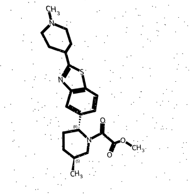 COC(=O)C(=O)N1C[C@@H](C)CC[C@@H]1c1ccc2sc(C3CCN(C)CC3)nc2c1